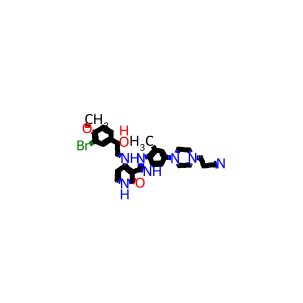 COc1ccc([C@H](O)CNc2cc[nH]c(=O)c2-c2nc3c(C)cc(N4CCN(CCC#N)CC4)cc3[nH]2)cc1Br